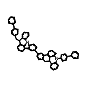 c1ccc(-c2ccc(CC3c4ccccc4-n4c5ccc(-c6ccc7c(c6)-c6cccc8c6C(C7)c6ccccc6N8c6ccc(-c7ccccc7)cc6)cc5c5cccc3c54)cc2)cc1